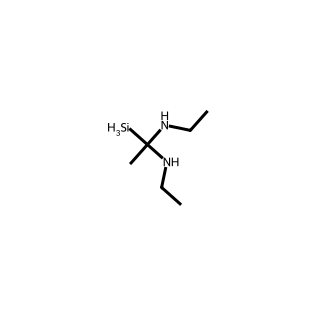 CCNC(C)([SiH3])NCC